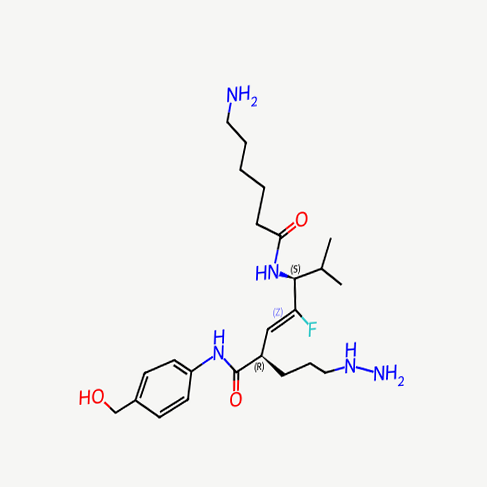 CC(C)[C@H](NC(=O)CCCCCN)/C(F)=C/[C@@H](CCCNN)C(=O)Nc1ccc(CO)cc1